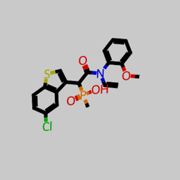 C=CN(C(=O)C(c1csc2ccc(Cl)cc12)P(C)(=O)O)c1ccccc1OC